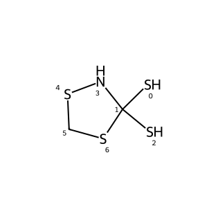 SC1(S)NSCS1